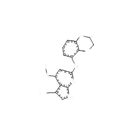 CC(C)Nc1cc(Nc2cc[c]c3c2OCCO3)nc2[nH]cc(C(F)(F)F)c12